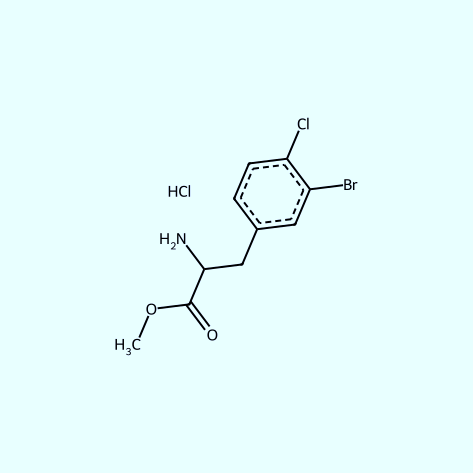 COC(=O)C(N)Cc1ccc(Cl)c(Br)c1.Cl